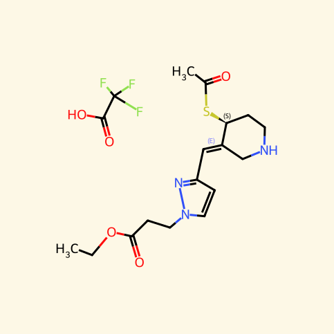 CCOC(=O)CCn1ccc(/C=C2\CNCC[C@@H]2SC(C)=O)n1.O=C(O)C(F)(F)F